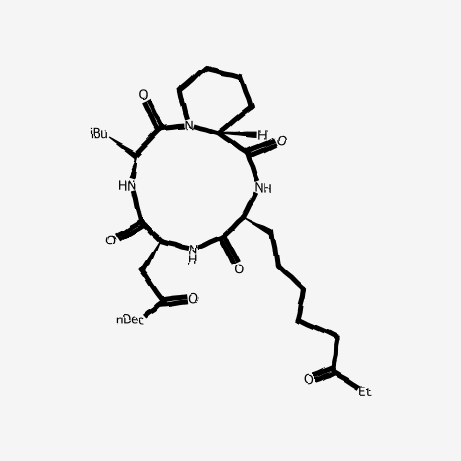 CCCCCCCCCCC(=O)C[C@@H]1NC(=O)[C@H](CCCCCC(=O)CC)NC(=O)[C@H]2CCCCN2C(=O)[C@H]([C@H](C)CC)NC1=O